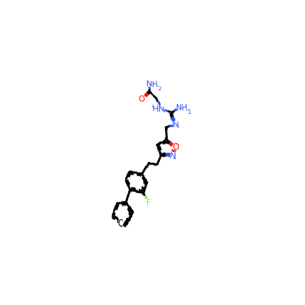 NC(=O)CNC(N)=NCc1cc(CCc2ccc(-c3ccccc3)c(F)c2)no1